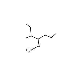 CCCC(O[SiH3])C(C)CC